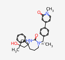 C[C@@H](c1ccc(-c2ccn(C)c(=O)c2)cc1)N1CCCC(CC(C)(C)O)(c2ccccc2)NC1=O